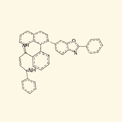 N=C(/C=C\C(=N)c1ccccc1-c1c(-c2ccc3nc(-c4ccccc4)oc3c2)ccc2ccccc12)c1ccccc1